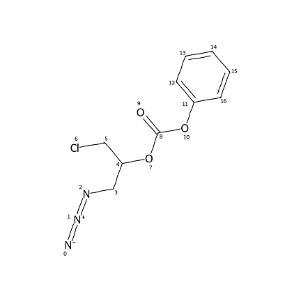 [N-]=[N+]=NCC(CCl)OC(=O)Oc1ccccc1